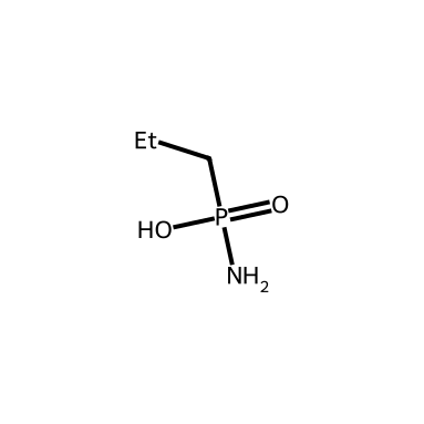 CCCP(N)(=O)O